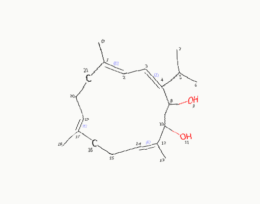 C/C1=C\C=C(\C(C)C)C(O)C(O)/C(C)=C/CC/C(C)=C/CC1